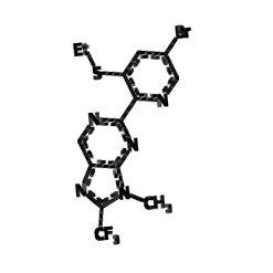 CCSc1cc(Br)cnc1-c1ncc2nc(C(F)(F)F)n(C)c2n1